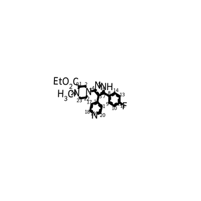 CCOC(=O)C1CN(c2n[nH]c(-c3ccc(F)cc3)c2-c2ccncc2)CCN1C